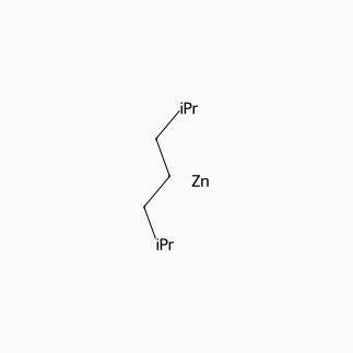 CC(C)CCCC(C)C.[Zn]